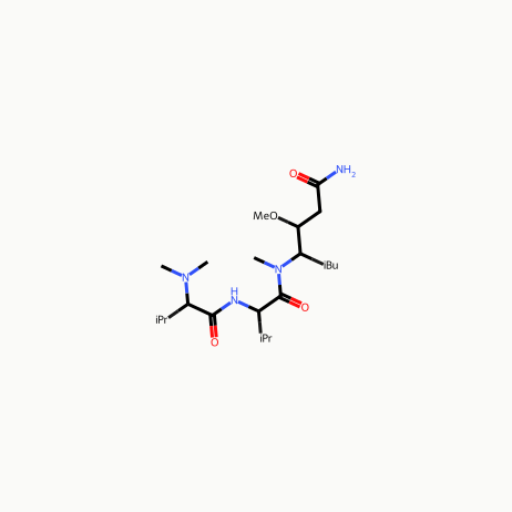 CCC(C)C(C(CC(N)=O)OC)N(C)C(=O)C(NC(=O)C(C(C)C)N(C)C)C(C)C